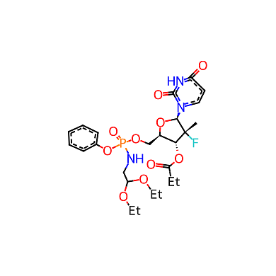 CCOC(CNP(=O)(OC[C@H]1O[C@@H](n2ccc(=O)[nH]c2=O)[C@](C)(F)[C@@H]1OC(=O)CC)Oc1ccccc1)OCC